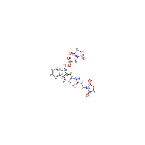 O=C(CCN1C(=O)C=CC1=O)Nc1ccc2c(c1)C(COC(=O)CN1C(=O)CCC1=O)c1ccccc1-2